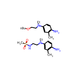 CCCCOCCN(CC)c1ccc(N)c(C)c1.CCN(CCNS(C)(=O)=O)c1ccc(N)c(C)c1